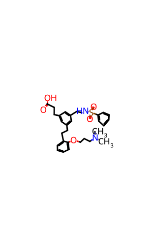 CN(C)CCCOc1ccccc1CCc1cc(CCNS(=O)(=O)c2ccccc2)cc(CCC(=O)O)c1